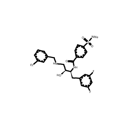 CCc1cccc(CNC[C@H](O)[C@H](Cc2cc(F)cc(F)c2)NC(=O)c2ccc(S(=O)(=O)NC)cc2)c1